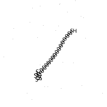 S=S(=S)(SSSSSSSSSSSSSSSSSSSSSSSSSSSSSS)S12#SC1S2